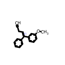 C#CC/C=C(\c1ccccc1)c1cccc(OC)c1